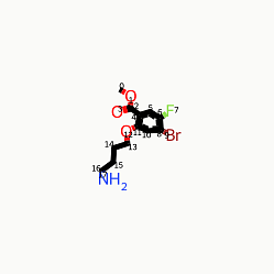 COC(=O)c1cc(F)c(Br)cc1OCCCCN